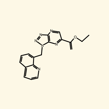 C=C(OCC)c1cnc2nnn(Cc3cccc4cccnc34)c2n1